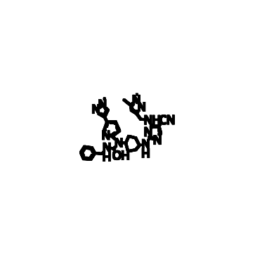 Cc1cc(CNc2nc(N[C@H]3CC[C@H](N(c4ccc(-c5cnn(C)c5)cn4)C(O)NCc4ccccc4)CC3)ncc2C#N)nn1C